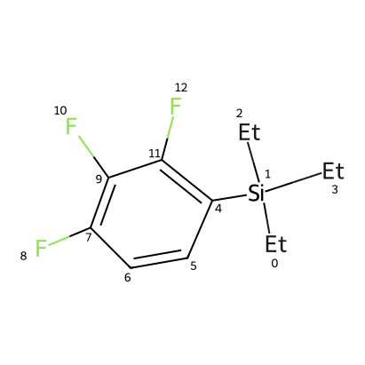 CC[Si](CC)(CC)c1ccc(F)c(F)c1F